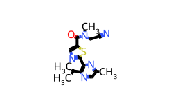 Cc1cnc(C(C)C)c(-c2ncc(C(=O)N(C)CC#N)s2)n1